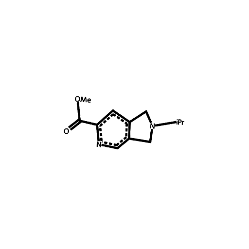 COC(=O)c1cc2c(cn1)CN(C(C)C)C2